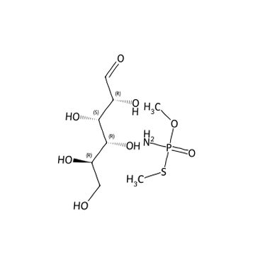 COP(N)(=O)SC.O=C[C@H](O)[C@@H](O)[C@H](O)[C@H](O)CO